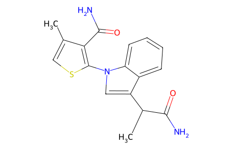 Cc1csc(-n2cc(C(C)C(N)=O)c3ccccc32)c1C(N)=O